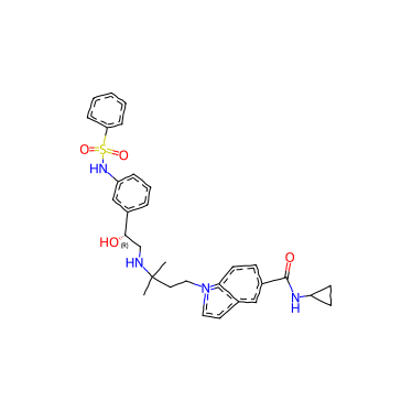 CC(C)(CCn1ccc2cc(C(=O)NC3CC3)ccc21)NC[C@H](O)c1cccc(NS(=O)(=O)c2ccccc2)c1